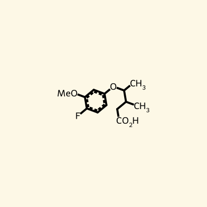 COc1cc(OC(C)C(C)CC(=O)O)ccc1F